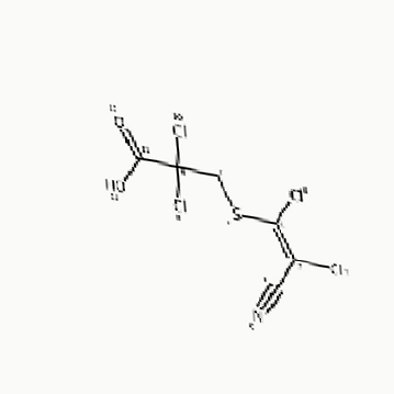 N#C/C(Cl)=C(/Cl)SCC(Cl)(Cl)C(=O)O